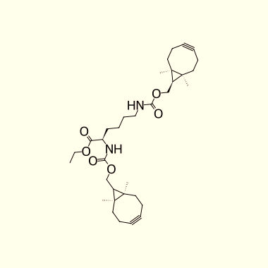 CCOC(=O)[C@@H](CCCCNC(=O)OC[C@@H]1[C@]2(C)CCC#CCC[C@]12C)NC(=O)OCC1[C@]2(C)CCC#CCC[C@]12C